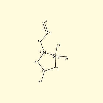 C=CCN1CC(C)C[Si]1(C)C